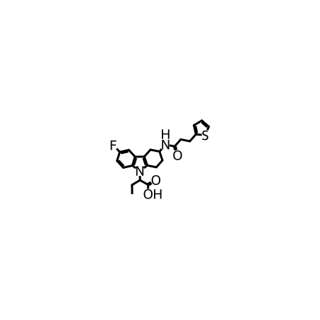 CCC(C(=O)O)n1c2c(c3cc(F)ccc31)CC(NC(=O)CCc1cccs1)CC2